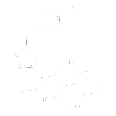 CCCCc1nc(O)c(-c2nnc(Cc3ccc(Cl)cc3)o2)c(O)c1-c1c(O)cccc1O